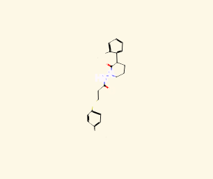 Cc1ccc(SCCC(=O)NN2CCCC(c3ccccc3C(F)(F)F)C2=O)cc1